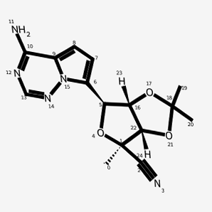 [CH2][C@]1(C#N)O[C@@H](c2ccc3c(N)ncnn23)[C@@H]2OC(C)(C)O[C@@H]21